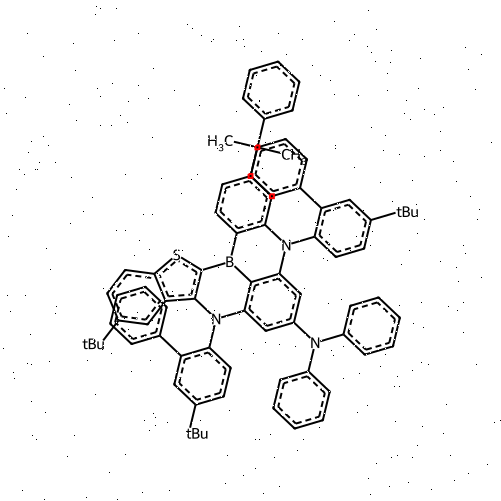 CC(C)(C)c1ccc(N2c3cc(C(C)(C)c4ccccc4)ccc3B3c4sc5ccc(C(C)(C)C)cc5c4N(c4ccc(C(C)(C)C)cc4-c4ccccc4)c4cc(N(c5ccccc5)c5ccccc5)cc2c43)c(-c2ccccc2)c1